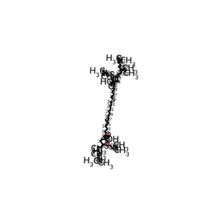 CC(C)C(CCC1CCC(CCCCCCSCCCCCCCCSCCCCCCC2(C(=O)O)CCC(CCC(SCCN(C)C)C(C)C)C(SCCN(C)C)C2)(C(=O)O)CC1SCCN(C)C)SCCN(C)C